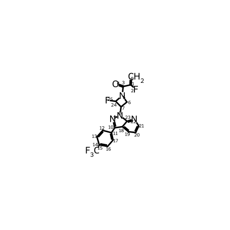 C=C(F)C(=O)N1CC(n2nc(-c3ccc(C(F)(F)F)cc3)c3cccnc32)C1F